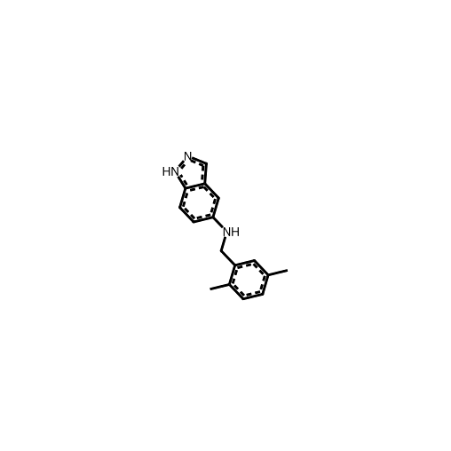 Cc1ccc(C)c(CNc2ccc3[nH]ncc3c2)c1